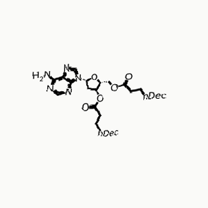 CCCCCCCCCCCCC(=O)OC[C@H]1O[C@@H](n2cnc3c(N)ncnc32)C[C@@H]1OC(=O)CCCCCCCCCCCC